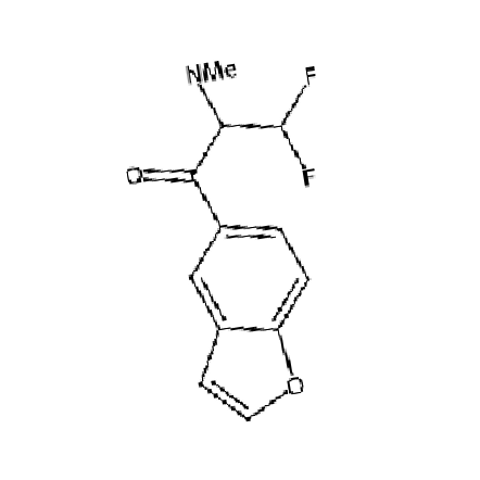 CNC(C(=O)c1ccc2occc2c1)C(F)F